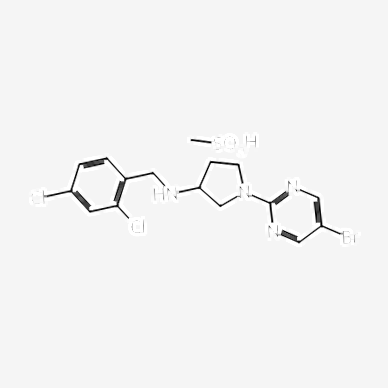 CS(=O)(=O)O.Clc1ccc(CNC2CCN(c3ncc(Br)cn3)C2)c(Cl)c1